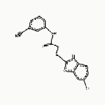 N#Cc1cccc(NC(=O)CSc2nc3cc(Cl)ccc3[nH]2)c1